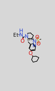 CCNC(=O)N1CCC[C@H](NS(C)(=O)=O)[C@@H]1Cc1cccc(OC2CCCCC2)c1